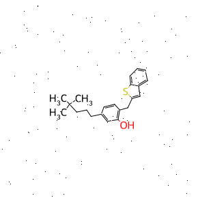 CC(C)(C)CCCc1ccc(Cc2cc3ccccc3s2)c(O)c1